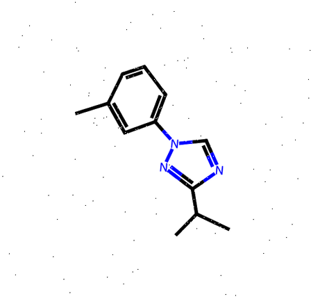 Cc1cccc(-n2cnc(C(C)C)n2)c1